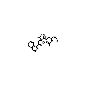 CC(=O)OC(/C=C\F)CNC(=O)C1(C(C)C)CC(c2nccc3c2C=CCC3)=NO1